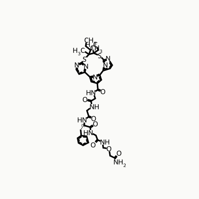 CCCC1(C)Sc2nccc(n2)-c2cc(C(=O)NCC(=O)NCC(=O)N[C@@H](Cc3ccccc3)C(=O)NCC(=O)NCOCC(N)=O)cc(n2)-c2ccnc(n2)SC1(C)CC